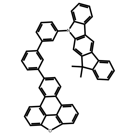 CC1(C)c2ccccc2-c2cc3c4ccccc4n(-c4cccc(-c5cccc(-c6ccc7c(c6)c6cccc8oc9cccc7c9c86)c5)c4)c3cc21